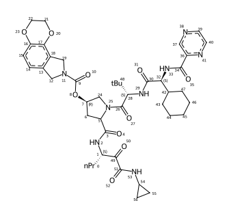 CCC[C@H](NC(=O)C1C[C@@H](OC(=O)N2Cc3ccc4c(c3C2)OCCO4)CN1C(=O)[C@@H](NC(=O)[C@@H](NC(=O)c1cnccn1)C1CCCCC1)C(C)(C)C)C(=O)C(=O)NC1CC1